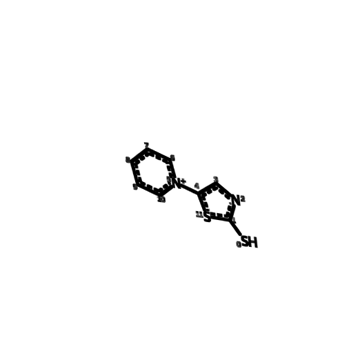 Sc1ncc(-[n+]2ccccc2)s1